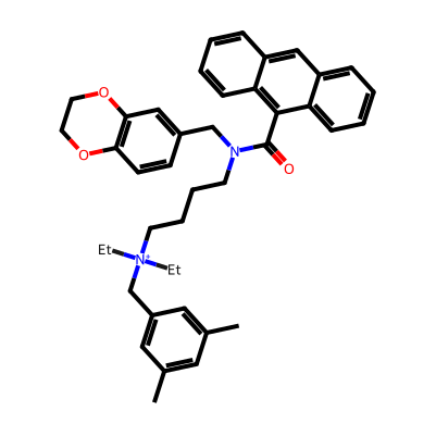 CC[N+](CC)(CCCCN(Cc1ccc2c(c1)OCCO2)C(=O)c1c2ccccc2cc2ccccc12)Cc1cc(C)cc(C)c1